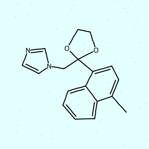 Cc1ccc(C2(Cn3ccnc3)OCCO2)c2ccccc12